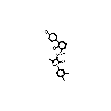 CC1=NN(c2ccc(C)c(C)c2)C(=O)C1=NNc1cccc(C2CCC(O)CC2)c1O